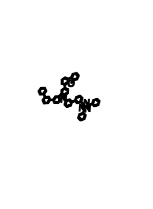 c1ccc(-c2cccc(-c3ccc4c(c3)c3cc(-c5cccc6c5oc5ccccc56)ccc3n4-c3cccc(-c4cccc(-c5nc(-c6ccccc6)nc(-c6ccccc6)n5)c4)c3)c2)cc1